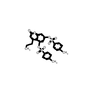 CCCc1cc(=O)oc2cc(OS(=O)(=O)c3ccc(C)cc3)cc(OS(=O)(=O)c3ccc(C)cc3)c12